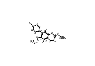 Cc1ccc(-c2c(C)c3c(c(C)c2CC(=O)O)CCN(CC(C)(C)C)C3)cc1